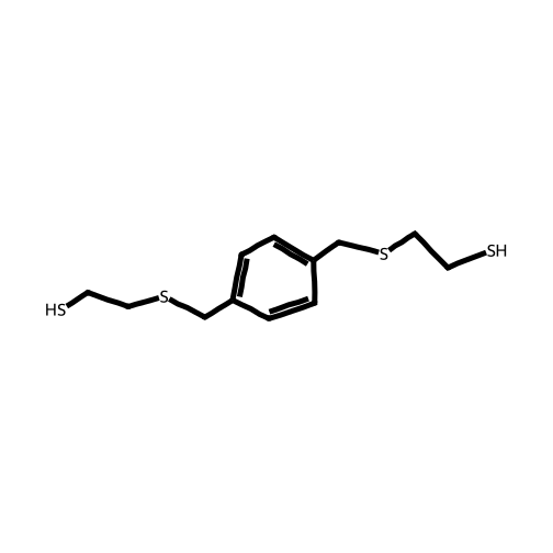 SCCSCc1ccc(CSCCS)cc1